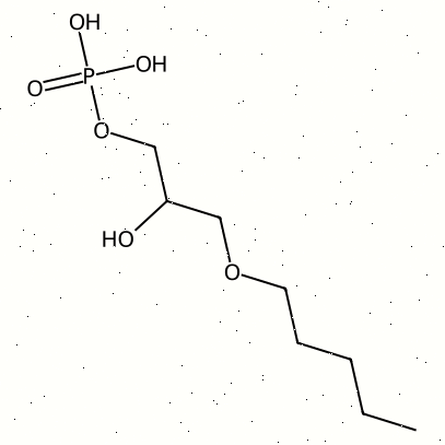 CCCCCOCC(O)COP(=O)(O)O